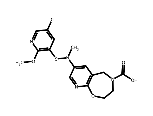 COc1ncc(Cl)cc1SN(C)c1cnc2c(c1)CN(C(=O)O)CCO2